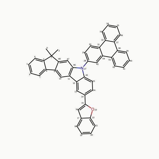 CC1(C)c2ccccc2-c2cc3c4cc(-c5cc6ccccc6o5)ccc4n(-c4ccc5c6ccccc6c6ccccc6c5c4)c3cc21